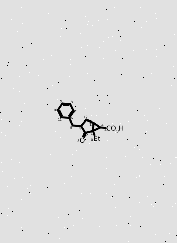 CCC12C(=O)C(Cc3ccccc3)CC1C2C(=O)O